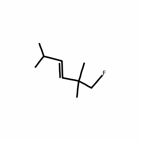 CC(C)/C=C/C(C)(C)CF